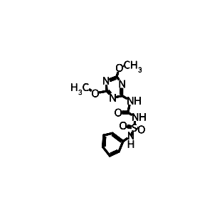 COc1nc(NC(=O)NS(=O)(=O)Nc2ccccc2)nc(OC)n1